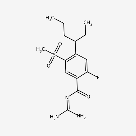 CCCC(CC)c1cc(F)c(C(=O)N=C(N)N)cc1S(C)(=O)=O